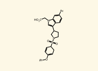 CC(=O)c1ccc2c(C3CCN(S(=O)(=O)C4C=CC(OC(C)C)=CC4)C3)cn(CC(=O)O)c2c1